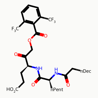 CCCCCCCCCCCC(=O)N[C@@H](CCCCC)C(=O)N[C@@H](CCC(=O)O)C(=O)COC(=O)c1c(C(F)(F)F)cccc1C(F)(F)F